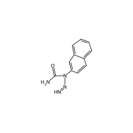 N=NN(C(N)=O)c1ccc2ccccc2c1